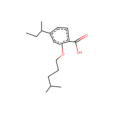 CCC(C)c1ccc(C(=O)O)c(OCCCC(C)C)c1